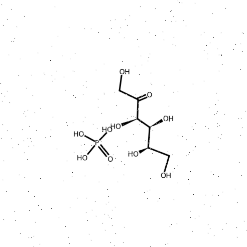 O=C(CO)[C@H](O)[C@@H](O)[C@H](O)CO.O=P(O)(O)O